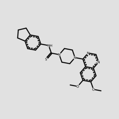 COc1cc2ncnc(N3CCN(C(=S)Nc4ccc5c(c4)CCC5)CC3)c2cc1OC